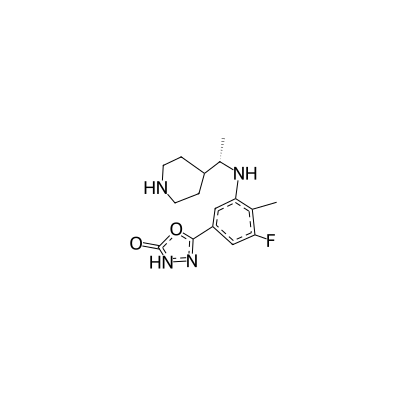 Cc1c(F)cc(-c2n[nH]c(=O)o2)cc1N[C@@H](C)C1CCNCC1